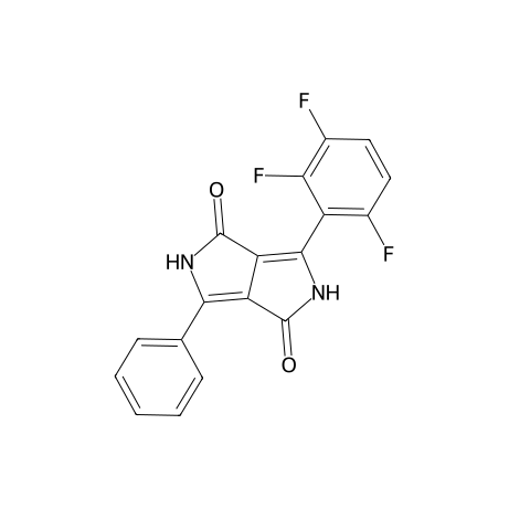 O=C1NC(c2c(F)ccc(F)c2F)=C2C(=O)NC(c3ccccc3)=C12